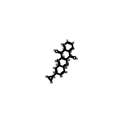 O=C1c2cccnc2C(=O)c2nc3cc(C4CC4)ccc3nc21